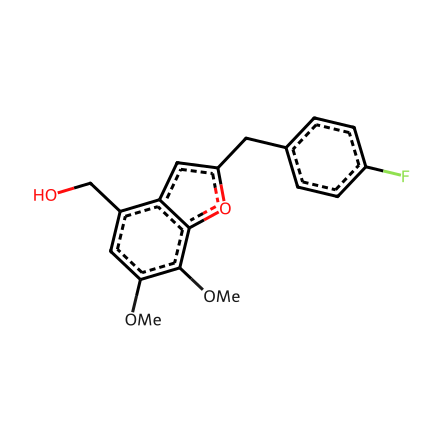 COc1cc(CO)c2cc(Cc3ccc(F)cc3)oc2c1OC